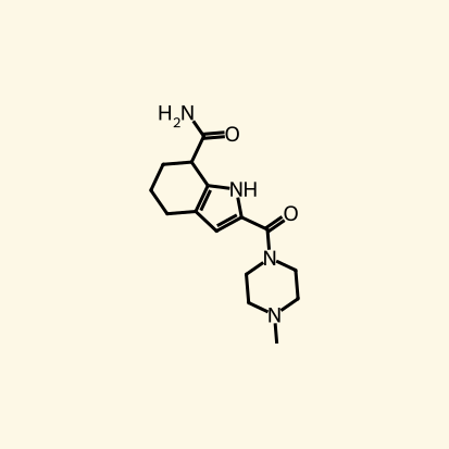 CN1CCN(C(=O)c2cc3c([nH]2)C(C(N)=O)CCC3)CC1